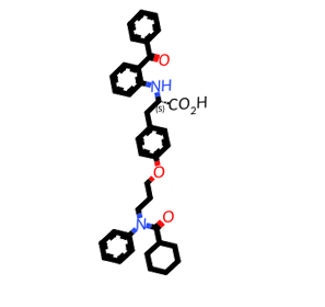 O=C(c1ccccc1)c1ccccc1N[C@@H](Cc1ccc(OCCCN(C(=O)C2CCCCC2)c2ccccc2)cc1)C(=O)O